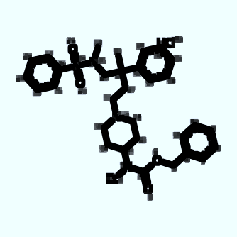 CCN(C(=O)OCc1ccccc1)C1CCN(CCC(C)(CN(C)S(=O)(=O)c2ccccc2)c2ccccc2)CC1.Cl